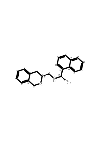 C[C@@H](NC[C@@H]1Cc2ccccc2[CH]O1)c1cccc2ccccc12